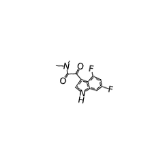 CN(C)C(=O)C(=O)c1c[nH]c2cc(F)cc(F)c12